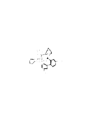 Cc1cccc(-c2ccc(C)cc2C(=O)N2CC3CC3C2C(C)Nc2nc3ccccc3o2)c1